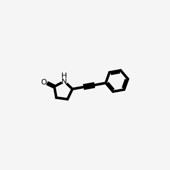 O=C1CCC(C#Cc2ccccc2)N1